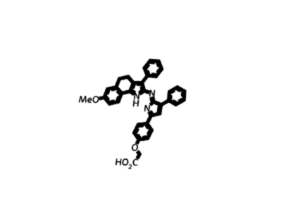 COc1ccc2c(c1)CCc1c-2[nH]c(N=C2N=C(c3ccc(OCC(=O)O)cc3)C=C2c2ccccc2)c1-c1ccccc1